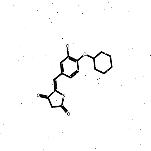 O=C1CC(=O)/C(=C/c2ccc(OC3CCCCC3)c(Cl)c2)S1